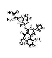 CCOC(=O)C1=C(CN2CC(F)(F)[C@@H]3CN(C(C)C(=O)O)C[C@@H]32)NC(c2nccs2)=N[C@H]1c1cccc(F)c1C